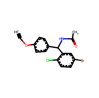 C#COc1ccc(C(NC(C)=O)c2cc(Br)ccc2Cl)cc1